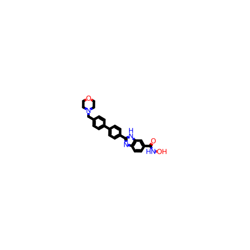 O=C(NO)c1ccc2nc(-c3ccc(-c4ccc(CN5CCOCC5)cc4)cc3)[nH]c2c1